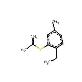 C=C(C)Sc1cc(C)ccc1CC